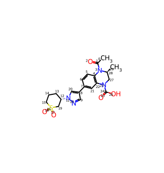 CC(=O)N1c2ccc(-c3cnn([C@H]4CCCS(=O)(=O)C4)c3)cc2N(C(=O)O)C[C@@H]1C